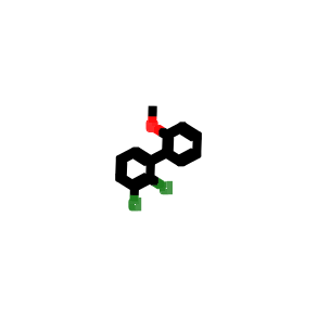 COc1[c]cccc1-c1cccc(Cl)c1Cl